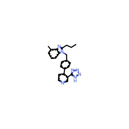 CCCc1nc2c(C)cccc2n1Cc1ccc(-c2ccncc2-c2nnn[nH]2)cc1